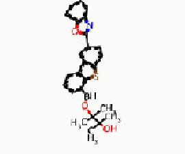 CC(C)(O)C(C)(C)OBc1cccc2c1sc1ccc(-c3nc4ccccc4o3)cc12